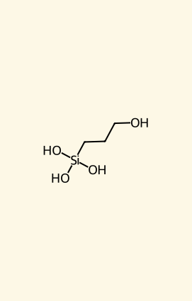 OCCC[Si](O)(O)O